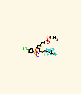 COC(=O)CCCc1ccc(C(CCC(F)(F)C(F)(F)C(F)(C(F)(F)F)C(F)(F)F)NS(=O)(=O)c2ccc(Cl)cc2)s1